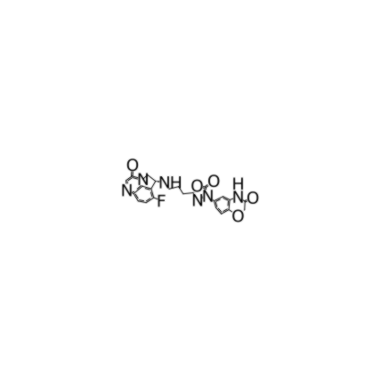 O=C1COc2ccc(-n3nc(CCCN[C@@H]4Cn5c(=O)cnc6ccc(F)c4c65)oc3=O)cc2N1